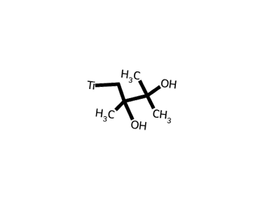 CC(C)(O)C(C)(O)[CH2][Ti]